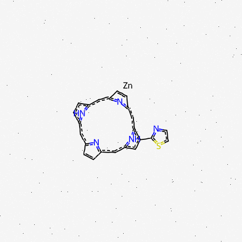 C1=Cc2cc3cc(-c4nccs4)c(cc4nc(cc5ccc(cc1n2)[nH]5)C=C4)[nH]3.[Zn]